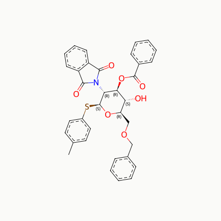 Cc1ccc(S[C@@H]2O[C@H](COCc3ccccc3)[C@@H](O)[C@H](OC(=O)c3ccccc3)[C@H]2N2C(=O)c3ccccc3C2=O)cc1